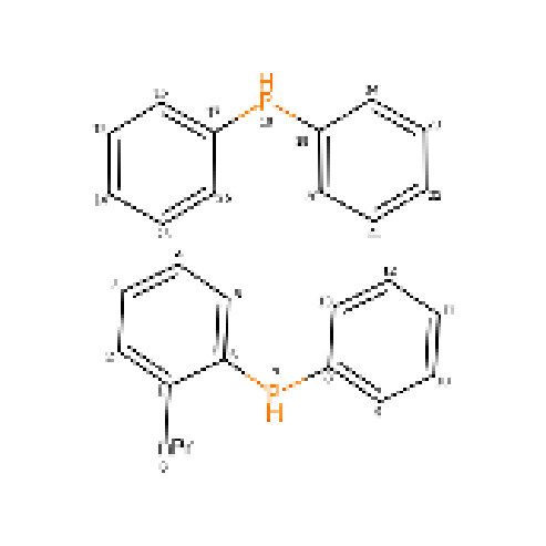 CCCc1ccccc1Pc1ccccc1.c1ccc(Pc2ccccc2)cc1